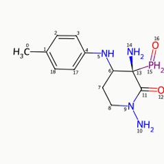 Cc1ccc(NC2CCN(N)C(=O)[C@@]2(N)[PH2]=O)cc1